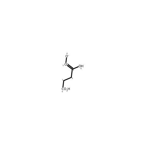 O=C(O)CCC(O)=[O+][O-]